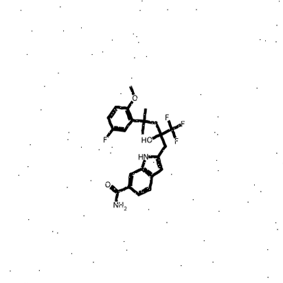 COc1ccc(F)cc1C(C)(C)CC(O)(Cc1cc2ccc(C(N)=O)cc2[nH]1)C(F)(F)F